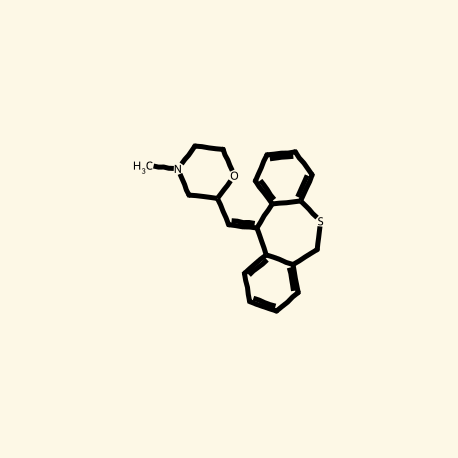 CN1CCOC(C=C2c3ccccc3CSc3ccccc32)C1